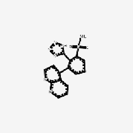 NS(=O)(=O)c1cccc(-c2ccnc3ncccc23)c1-c1nnn[nH]1